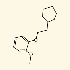 COc1ccccc1OCCC1CCCCC1